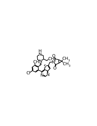 CCC1CNCCN1Cc1c(C)cc(Cl)cc1-c1ncnc2cc(CN3C(=O)C4C(C3=O)C4(C)C)sc12